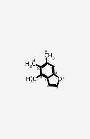 Cc1cc2occc2c(C)c1C